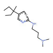 CCC(C)(CC)c1ccc(NCCCN(C)C)nc1